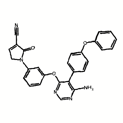 N#CC1=CCN(c2cccc(Oc3ncnc(N)c3-c3ccc(Oc4ccccc4)cc3)c2)C1=O